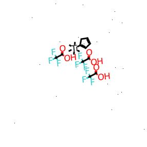 O=C(O)C(F)(F)F.O=C(O)C(F)(F)F.O=C(O)C(F)(F)F.[CH3][Ti]([CH3])([CH3])([CH3])([CH3])[C]1=CC=CC1